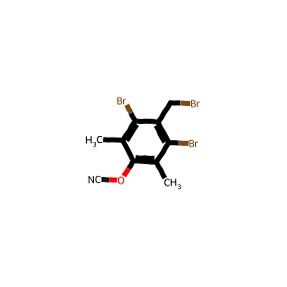 Cc1c(Br)c(CBr)c(Br)c(C)c1OC#N